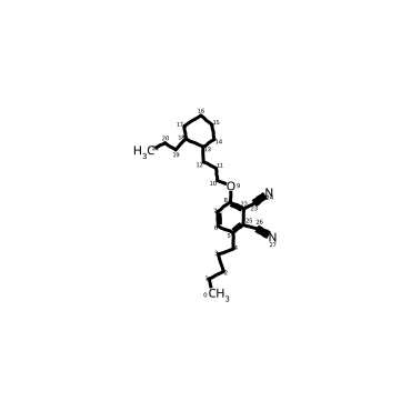 CCCCCc1ccc(OCCCC2CCCCC2CCC)c(C#N)c1C#N